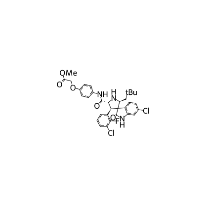 COC(=O)COc1ccc(NC(=O)[C@@H]2N[C@@H](CC(C)(C)C)C3(C(=O)Nc4cc(Cl)ccc43)[C@H]2c2cccc(Cl)c2F)cc1